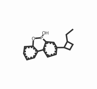 CCC1CCC1c1ccc2c(c1)P(O)Oc1ccccc1-2